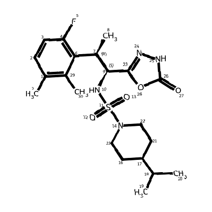 Cc1ccc(F)c([C@@H](C)[C@H](NS(=O)(=O)N2CCC(C(C)C)CC2)c2n[nH]c(=O)o2)c1C